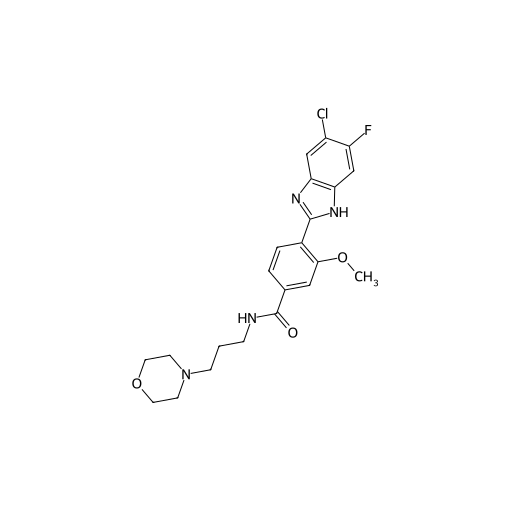 COc1cc(C(=O)NCCCN2CCOCC2)ccc1-c1nc2cc(Cl)c(F)cc2[nH]1